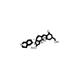 CC(=O)OC1C[C@H]2[C@@H]3OC4=C(C=C3C=C[C@]2(C)[C@H]1c1ccc2cnccc2c1)C(=O)CC(CO)C4